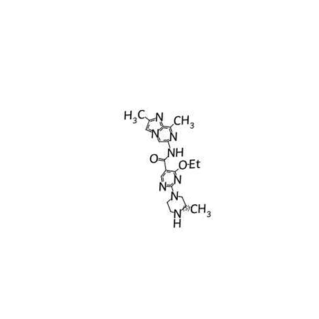 CCOc1nc(N2CCN[C@@H](C)C2)ncc1C(=O)Nc1cn2cc(C)nc2c(C)n1